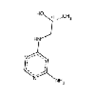 C[C@@H](O)CNc1cc(N)ncn1